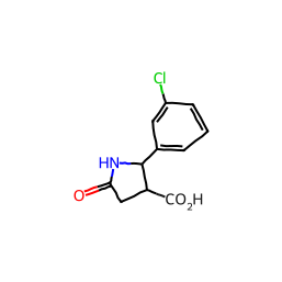 O=C1CC(C(=O)O)C(c2cccc(Cl)c2)N1